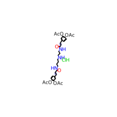 CC(=O)Oc1ccc(/C=C/C(=O)NCCCCNCCCNC(=O)/C=C/c2ccc(OC(C)=O)c(OC(C)=O)c2)cc1OC(C)=O.Cl